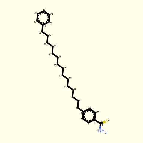 NC(=S)c1ccc(CCCCCCCCCCCCCCCc2ccccc2)cc1